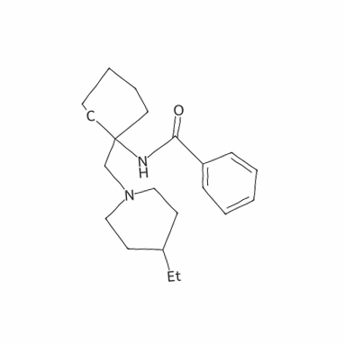 CCC1CCN(CC2(NC(=O)c3ccccc3)CCCCC2)CC1